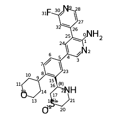 Nc1ncc(-c2ccc(C3CCOCC3)c([C@@H]3C[S@+]([O-])CCN3)c2)cc1-c1ccnc(F)c1